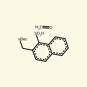 C=O.CCCCCCCCCCCc1ccc2ccccc2c1S(=O)(=O)O